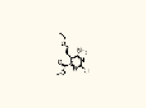 CCOC=Cc1c(N)nc(Cl)nc1C(=O)OC